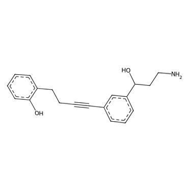 NCCC(O)c1cccc(C#CCCc2ccccc2O)c1